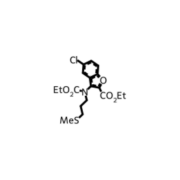 CCOC(=O)c1oc2ccc(Cl)cc2c1N(CCCSC)C(=O)OCC